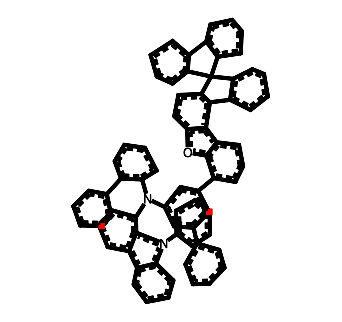 c1ccc(-c2cc(-c3cccc4c3oc3ccc5c(c34)-c3ccccc3C53c4ccccc4-c4ccccc43)cc(N(c3ccccc3-c3ccccc3)c3cccc4c5ccccc5n(-c5ccccc5)c34)c2)cc1